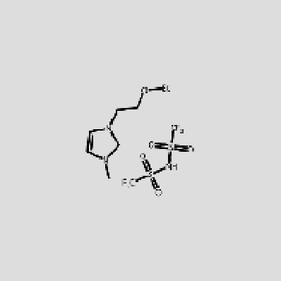 CCOCCN1C=CN(C)C1.O=S(=O)(NS(=O)(=O)C(F)(F)F)C(F)(F)F